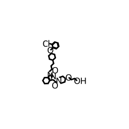 O=C(CCC1CCC(Oc2ccccc2Cl)CC1)Cn1nc(C(=O)N2CCC(OCCO)CC2)c2c1CCCC2